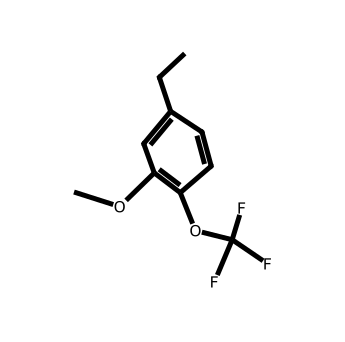 CCc1ccc(OC(F)(F)F)c(OC)c1